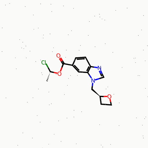 C[C@H](Cl)OC(=O)c1ccc2ncn(C[C@@H]3CCO3)c2c1